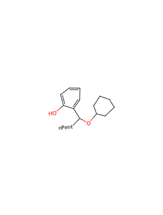 CCCCCC(OC1CCCCC1)c1ccccc1O